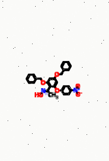 C/C(=N\O)c1c(OCc2ccccc2)cc(OCc2ccccc2)cc1Oc1ccc([N+](=O)[O-])cc1